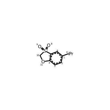 CC(C)c1ccc2c(c1)S(=O)(=O)CO2